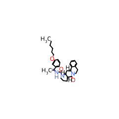 CCCCCCOc1cccc([C@@H](C)NC(=O)N2CCC[C@@H]3C(=O)N4CCc5ccccc5[C@@H]4C[C@@H]32)c1